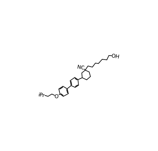 CC(C)CCOc1ccc(-c2ccc(C3CCCC(C#N)(CCCCCCCO)C3)cc2)cc1